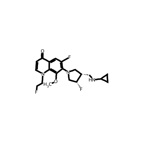 COc1c(N2C[C@H](CNC3CC3)[C@H](F)C2)c(F)cc2c(=O)ccn(CCF)c12